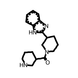 O=C(C1CCCNC1)N1CCCC(c2nc3ccccc3[nH]2)C1